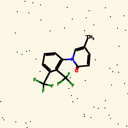 Cc1ccc(=O)n(-c2cccc(C(F)(F)F)c2C(F)(F)F)c1